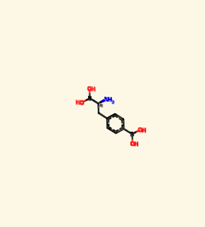 N[C@@H](Cc1ccc(B(O)O)cc1)B(O)O